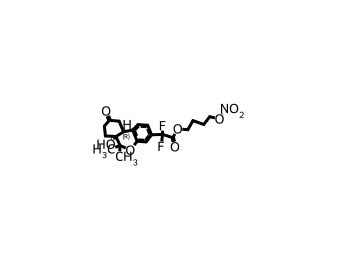 CC1(C)Oc2cc(C(F)(F)C(=O)OCCCCO[N+](=O)[O-])ccc2[C@H]2CC(=O)CC[C@@]21O